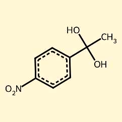 CC(O)(O)c1ccc([N+](=O)[O-])cc1